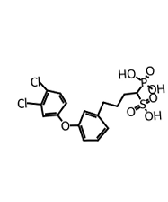 O=P(O)(O)C(CCCc1cccc(Oc2ccc(Cl)c(Cl)c2)c1)S(=O)(=O)O